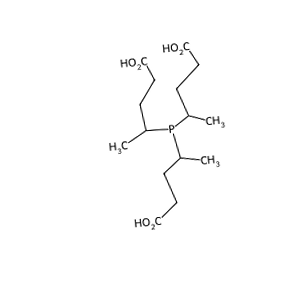 CC(CCC(=O)O)P(C(C)CCC(=O)O)C(C)CCC(=O)O